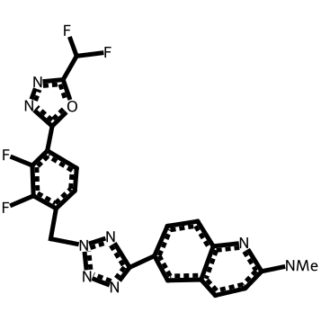 CNc1ccc2cc(-c3nnn(Cc4ccc(-c5nnc(C(F)F)o5)c(F)c4F)n3)ccc2n1